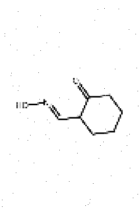 O=C1CC[CH]CC1/C=N/O